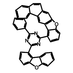 c1ccc(-c2nc(-c3cccc4oc5ccccc5c34)nc(-c3cccc4oc5cc6ccc7ccccc7c6cc5c34)n2)cc1